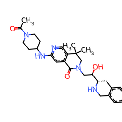 CC(=O)N1CCC(Nc2cc3c(cn2)C(C)(C)CN(C[C@@H](O)[C@@H]2Cc4ccccc4CN2)C3=O)CC1